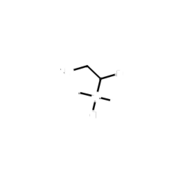 CCC(CC#N)[Si](Cl)(Cl)Cl